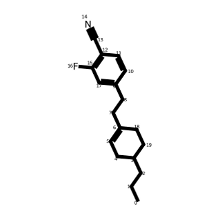 CCCC1CC=C(CCc2ccc(C#N)c(F)c2)CC1